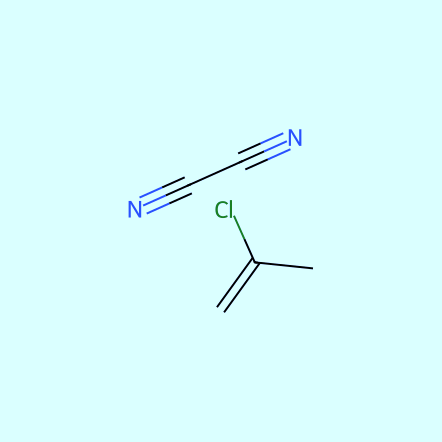 C=C(C)Cl.N#CC#N